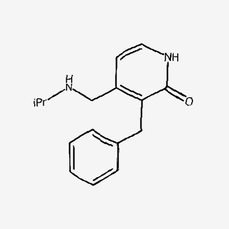 CC(C)NCc1cc[nH]c(=O)c1Cc1ccccc1